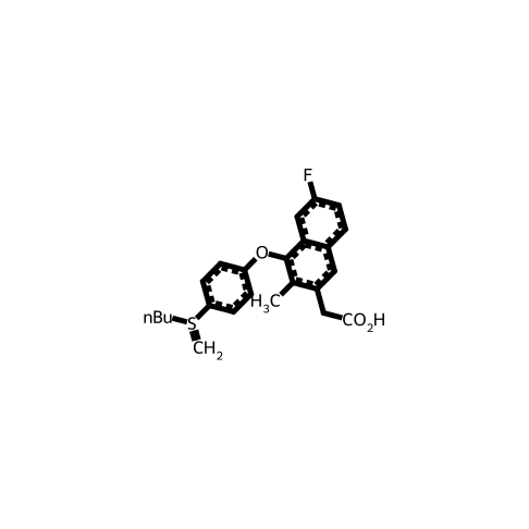 C=S(CCCC)c1ccc(Oc2c(C)c(CC(=O)O)cc3ccc(F)cc23)cc1